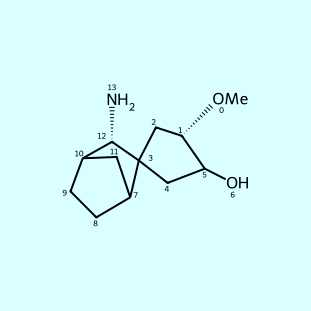 CO[C@H]1CC2(CC1O)C1CCC(C1)[C@@H]2N